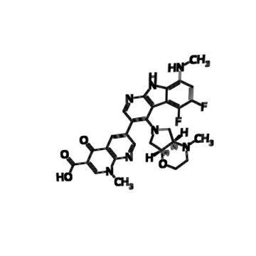 CNc1cc(F)c(F)c2c1[nH]c1ncc(-c3cnc4c(c3)c(=O)c(C(=O)O)cn4C)c(N3C[C@H]4OCCN(C)[C@H]4C3)c12